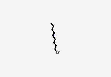 CCC/C=C/CCCCBr